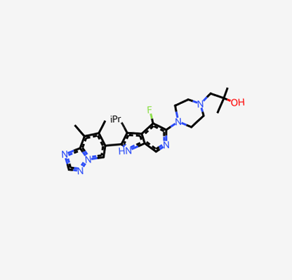 Cc1c(-c2[nH]c3cnc(N4CCN(CC(C)(C)O)CC4)c(F)c3c2C(C)C)cn2ncnc2c1C